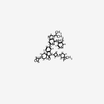 CC(C)n1cnc2cc(-c3ccc4c(c3)N([C@H]3C[C@@H](N5CC[C@](C)(F)C5)C3)C(=O)C43CCN(C4COC4)CC3)nc(Nc3ccncc3F)c21